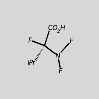 CC(C)[C@](F)(C(=O)O)N(F)F